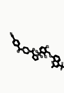 Cc1cc(C(F)(F)F)c2cccc(OCc3c(Cl)ccc(S(=O)(=O)N4CCCC4C(=O)N4CCN(C(=O)c5ccc(C#N)cc5)CC4)c3Cl)c2n1